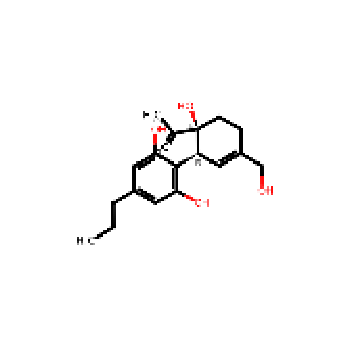 C=C(C)[C@]1(O)CCC(CO)=C[C@H]1c1c(O)cc(CCC)cc1O